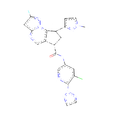 Cn1ccc([C@@]2(C)C[C@@H](C(=O)Nc3cnc(-n4nccn4)c(Cl)c3)c3cnc4cc(F)nn4c32)n1